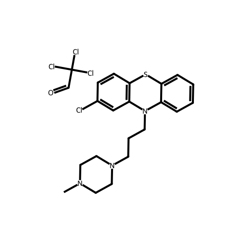 CN1CCN(CCCN2c3ccccc3Sc3ccc(Cl)cc32)CC1.O=CC(Cl)(Cl)Cl